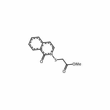 COC(=O)CSn1ccc2ccccc2c1=O